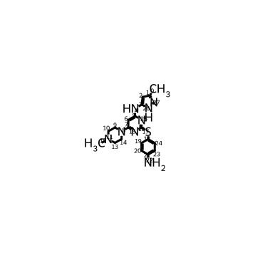 Cc1cc(Nc2cc(N3CCN(C)CC3)nc(Sc3ccc(N)cc3)n2)[nH]n1